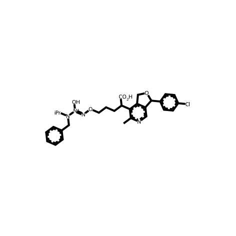 Cc1ncc2c(c1C(CCCO/N=[N+](\O)N(Cc1ccccc1)C(C)C)C(=O)O)COC2c1ccc(Cl)cc1